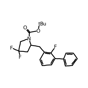 CC(C)(C)OC(=O)N1CC(F)(F)CC1Cc1cccc(-c2ccccc2)c1F